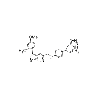 C=CC(Cc1nnn[nH]1)c1ccc(OCc2cc3c(-c4ccc(OC)cc4C)csc3cn2)cc1